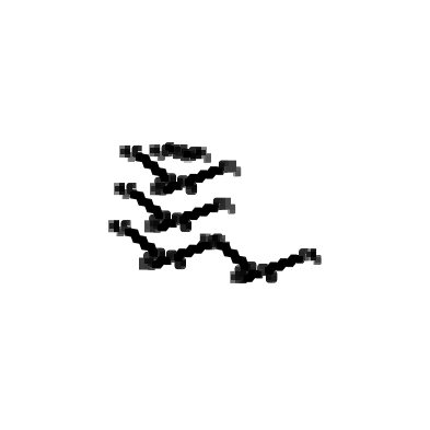 CCCCCCCC(=O)OCC(CS)OC(=O)CCCCCCC.CCCCCCCC(=O)OCC(CS)OC(=O)CCCCCCC.CCCCCCCC(=O)OCC(CS)OC(=O)CCCCCCC.CCCCCCCC(=O)OCC(CS)OC(=O)CCCCCCC.[CH3][Sn][S][S][Sn][CH3]